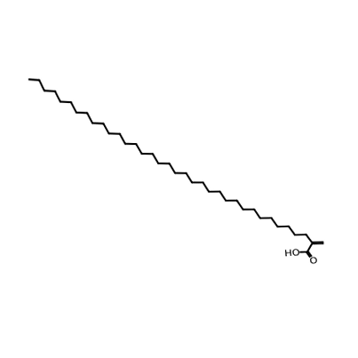 C=C(CCCCCCCCCCCCCCCCCCCCCCCCCCCCCCCCCC)C(=O)O